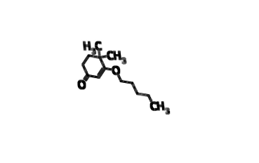 CCCCCOC1=CC(=O)CCC1(C)C